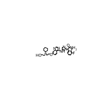 NC(=O)C(c1cccc(F)c1F)n1cc(Nc2ncnc3cc(OCCN(CCO)C4CCCCC4)ccc23)cn1